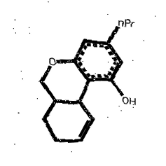 CCCc1cc(O)c2c(c1)OCC1CCC=CC21